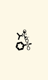 CC(C)[N+](=O)[O-].CS(=O)(=O)c1ccccc1